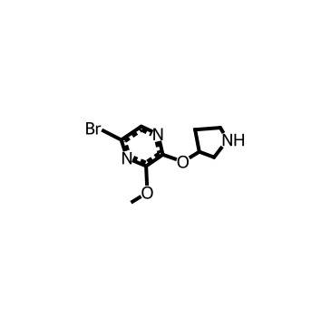 COc1nc(Br)cnc1OC1CCNC1